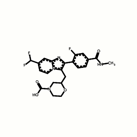 CNC(=O)c1ccc(-c2nc3cc(C(F)F)ccn3c2CC2CN(C(=O)O)CCO2)c(F)c1